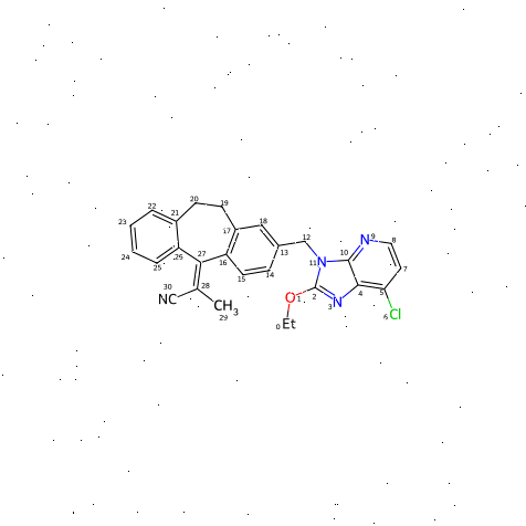 CCOc1nc2c(Cl)ccnc2n1Cc1ccc2c(c1)CCc1ccccc1/C2=C(/C)C#N